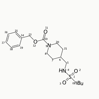 CCCCS(=O)(=O)NCC1CCN(C(=O)OCc2ccccc2)CC1